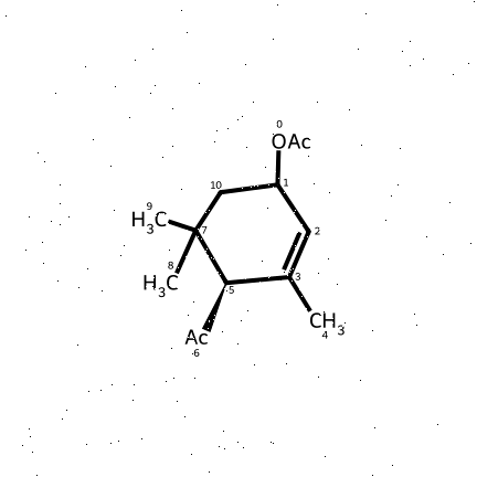 CC(=O)OC1C=C(C)[C@@H](C(C)=O)C(C)(C)C1